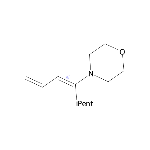 C=C/C=C(\C(C)CCC)N1CCOCC1